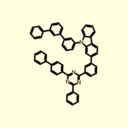 c1ccc(-c2ccc(-c3nc(-c4ccccc4)nc(-c4cccc(-c5ccc6c7ccccc7n(-c7cccc(-c8cccc(-c9ccccc9)c8)c7)c6c5)c4)n3)cc2)cc1